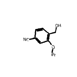 CC(C)Oc1cc(C#N)ccc1CO